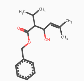 CC(C)=CC(O)C(C(=O)OCc1ccccc1)C(C)C